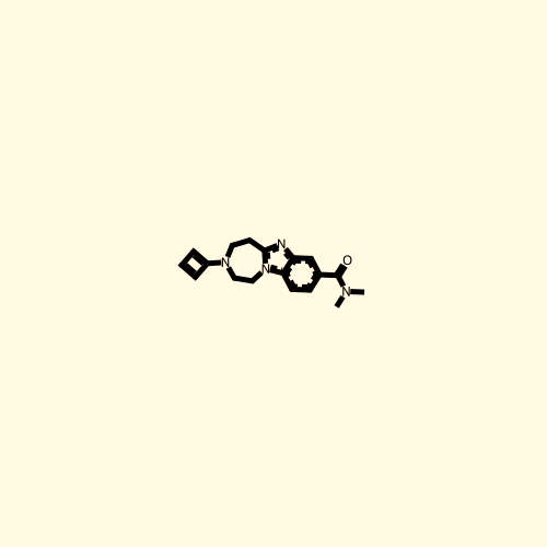 CN(C)C(=O)c1ccc2c(c1)nc1n2CCN(C2=CC=C2)CC1